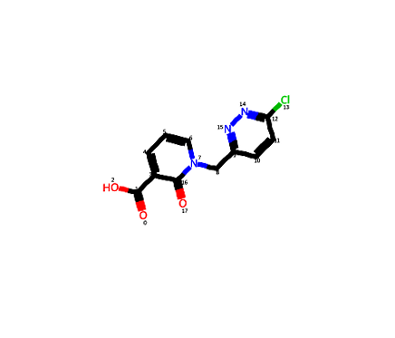 O=C(O)c1cccn(Cc2ccc(Cl)nn2)c1=O